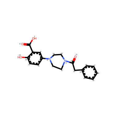 O=C(O)c1cc(N2CCN(C(=O)Cc3ccccc3)CC2)ccc1O